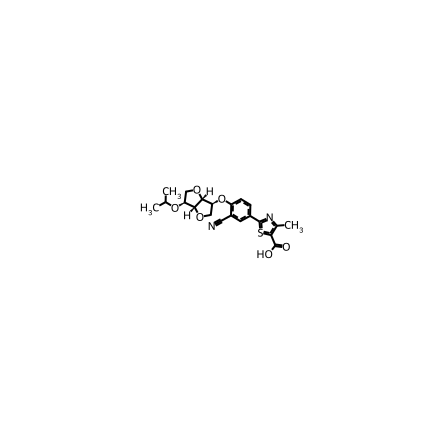 Cc1nc(-c2ccc(O[C@H]3CO[C@H]4[C@@H]3OC[C@@H]4OC(C)C)c(C#N)c2)sc1C(=O)O